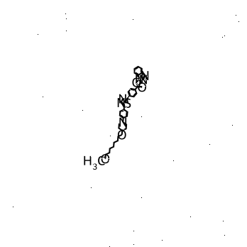 COCCCCCCCOC1CCN(c2ccc(-c3nnc(-c4ccc(C(=O)On5nnc6ccccc65)cc4)s3)cc2)CC1